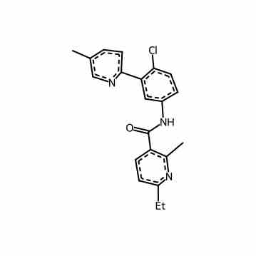 CCc1ccc(C(=O)Nc2ccc(Cl)c(-c3ccc(C)cn3)c2)c(C)n1